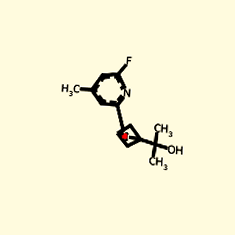 Cc1cc(F)nc(N2CC3(C(C)(C)O)CC2C3)c1